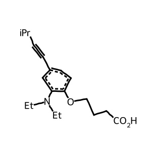 CCN(CC)c1cc(C#CC(C)C)ccc1OCCCC(=O)O